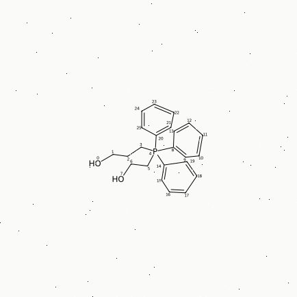 OCCCP(CCO)(c1ccccc1)(c1ccccc1)c1ccccc1